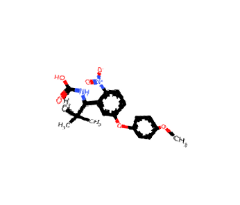 COc1ccc(Oc2ccc([N+](=O)[O-])c(C(NC(=O)O)C(C)(C)C)c2)cc1